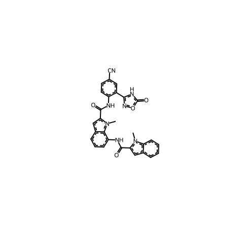 Cn1c(C(=O)Nc2cccc3cc(C(=O)Nc4ccc(C#N)cc4-c4noc(=O)[nH]4)n(C)c23)cc2ccccc21